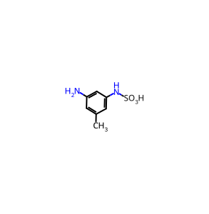 Cc1cc(N)cc(NS(=O)(=O)O)c1